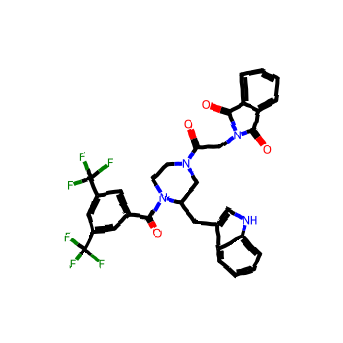 O=C(CN1C(=O)c2ccccc2C1=O)N1CCN(C(=O)c2cc(C(F)(F)F)cc(C(F)(F)F)c2)C(Cc2c[nH]c3ccccc23)C1